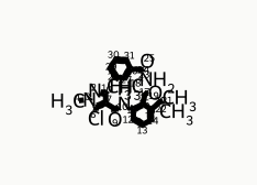 Cc1nn(C)c(Cl)c1C(=O)Nc1cccc2c1C(C)OC2(C)C.NC(=O)c1ccccc1